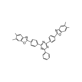 Cc1cc2nc(-c3ccc(-c4nc(-c5ccccc5)nc(-c5ccc(-c6nc7cc(C)c(C)cc7o6)cc5)n4)cc3)oc2cc1C